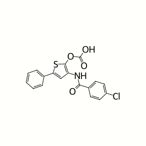 O=C(O)Oc1sc(-c2ccccc2)cc1NC(=O)c1ccc(Cl)cc1